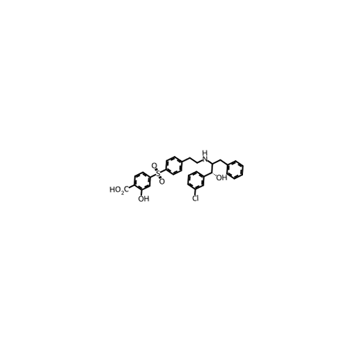 O=C(O)c1ccc(S(=O)(=O)c2ccc(CCNC(Cc3ccccc3)[C@H](O)c3cccc(Cl)c3)cc2)cc1O